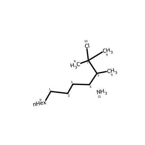 CCCCCCCCCCC(C)C(C)(C)Cl.N